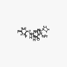 CCCn1c(C2CCCC2)nc2nc(NCc3ccc(F)cc3F)[nH]c(=O)c21